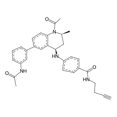 C#CCCNC(=O)c1ccc(N[C@@H]2C[C@H](C)N(C(C)=O)c3ccc(-c4cccc(NC(C)=O)c4)cc32)cc1